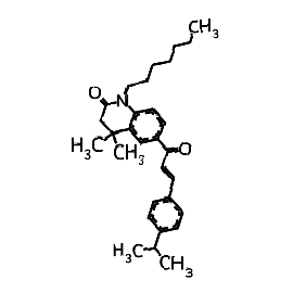 CCCCCCCN1C(=O)CC(C)(C)c2cc(C(=O)/C=C/c3ccc(C(C)C)cc3)ccc21